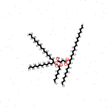 CCCCCCCCCCCCCCCCC(CCCCCCCCCCC)OC(=O)CC(OC(=O)CCCCCCC)C(=O)OC(CCCCCCCCCCC)CCCCCCCCCCCCCCCC